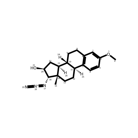 COc1ccc2c(c1)CC[C@@H]1[C@@H]2CC[C@]2(C)[C@H](N=[N+]=[N-])[C@@H](O)C[C@@H]12